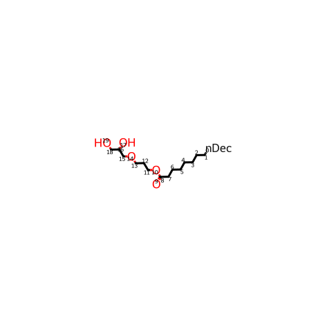 CCCCCCCCCCCCCCCCCC(=O)OCCCOCC(O)CO